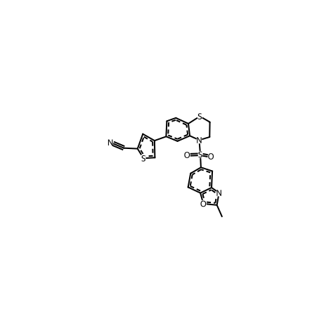 Cc1nc2cc(S(=O)(=O)N3CCSc4ccc(-c5csc(C#N)c5)cc43)ccc2o1